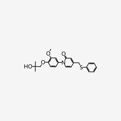 COc1cc(-n2ccc(CSc3ccccc3)cc2=O)ccc1OCC(C)(C)O